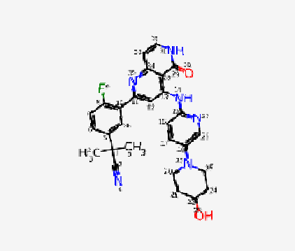 CC(C)(C#N)c1ccc(F)c(-c2cc(Nc3ccc(N4CCC(O)CC4)cn3)c3c(=O)[nH]ccc3n2)c1